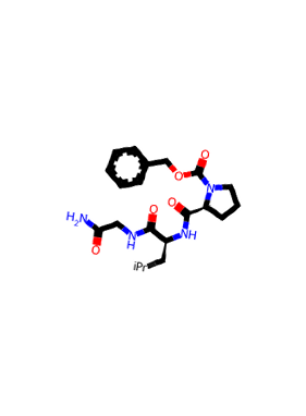 CC(C)C[C@H](NC(=O)[C@@H]1CCCN1C(=O)OCc1ccccc1)C(=O)NCC(N)=O